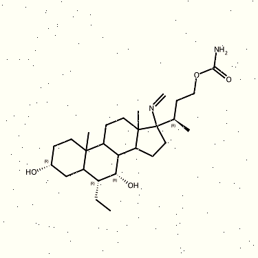 C=NC1([C@H](C)CCOC(N)=O)CCC2C3C(CCC21C)C1(C)CC[C@@H](O)CC1[C@@H](CC)[C@H]3O